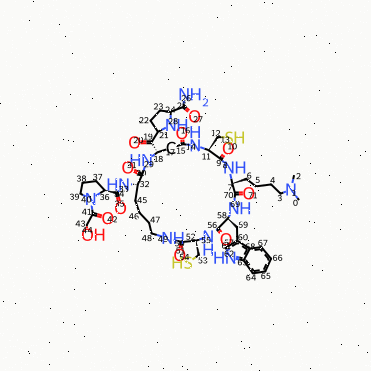 CN(C)CCCC[C@@H]1NC(=O)[C@H](CS)NC(=O)C[C@@H](C(=O)C2CCC(C(N)=O)N2)NC(=O)[C@@H](NC(=O)[C@@H]2CCCN2C(=O)CO)CCCCNC(=O)[C@H](CS)NC(=O)[C@H](Cc2c[nH]c3ccccc23)NC1=O